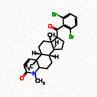 CN1C(=O)C=C[C@@]2(C)C1CC[C@@H]1[C@H]2CC[C@]2(C)C(C(=O)c3c(Br)cccc3Br)CC[C@@H]12